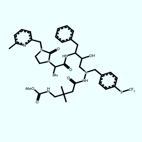 CCC(C)C(C(=O)NC(Cc1ccccc1)C(O)CN(Cc1ccc(SC(F)(F)F)cc1)NC(=O)CC(C)(C)CNC(=O)OC)N1CCN(Cc2cccc(C)n2)C1=O